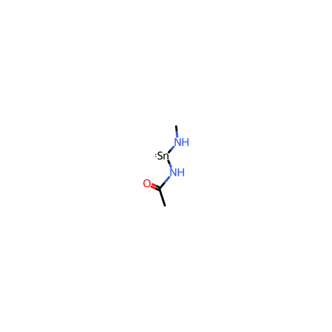 C[NH][Sn][NH]C(C)=O